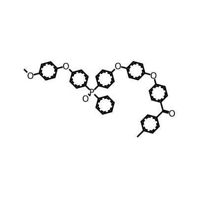 COc1ccc(Oc2ccc(P(=O)(c3ccccc3)c3ccc(Oc4ccc(Oc5ccc(C(=O)c6ccc(C)cc6)cc5)cc4)cc3)cc2)cc1